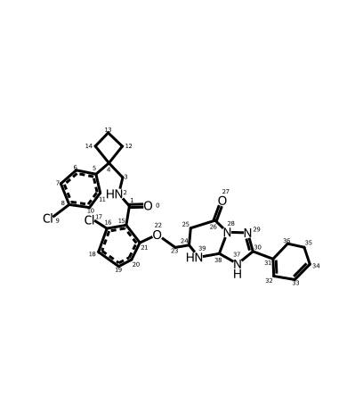 O=C(NCC1(c2ccc(Cl)cc2)CCC1)c1c(Cl)cccc1OCC1CC(=O)N2N=C(C3=CC=CCC3)NC2N1